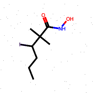 CCCC(I)C(C)(C)C(=O)NO